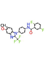 COc1ccc2c(c1)nc(C(F)(F)F)n2-c1ccc(NC(=O)c2cc(F)ccc2F)cc1